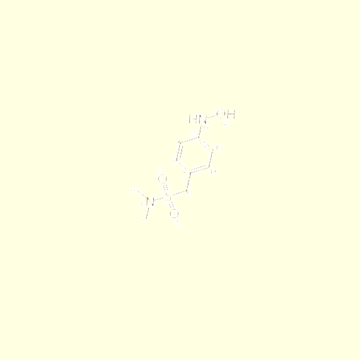 CN(C)S(=O)(=O)Cc1ccc(NO)cc1